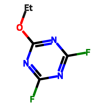 CCOc1nc(F)nc(F)n1